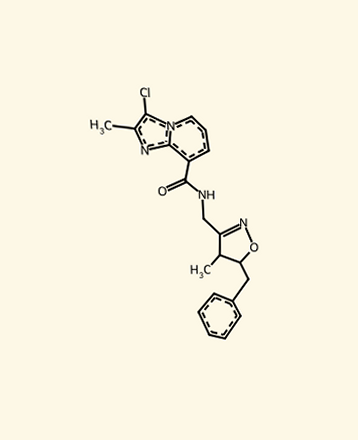 Cc1nc2c(C(=O)NCC3=NOC(Cc4ccccc4)C3C)cccn2c1Cl